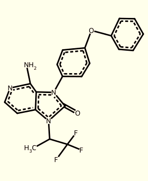 CC(n1c(=O)n(-c2ccc(Oc3ccccc3)cc2)c2c(N)nccc21)C(F)(F)F